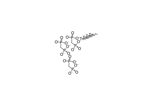 O=P([O-])([O-])CP(=O)([O-])[O-].O=P([O-])([O-])CP(=O)([O-])[O-].O=P([O-])([O-])CP(=O)([O-])[O-].[Tm+3].[Tm+3].[Tm+3].[Tm+3]